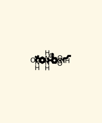 CCCCNS(=O)(=O)c1ccc(C2Nc3cc4c(cc3N2)C(C)(C)C(=O)N4)c(OC)c1